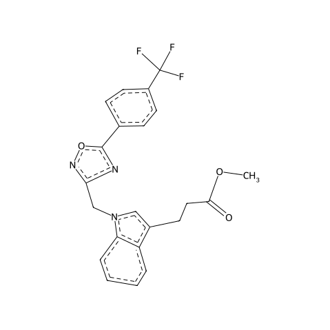 COC(=O)CCc1cn(Cc2noc(-c3ccc(C(F)(F)F)cc3)n2)c2ccccc12